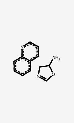 NC1CN=CO1.c1ccc2ncccc2c1